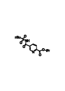 CCCCS(=O)(=O)NC(=O)c1ccc(C(=O)OC(C)C)nc1